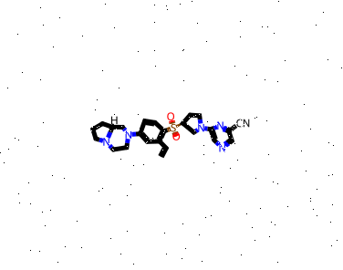 C=Cc1cc(N2CCN3CCC[C@H]3C2)ccc1S(=O)(=O)[C@H]1CCN(c2cncc(C#N)n2)C1